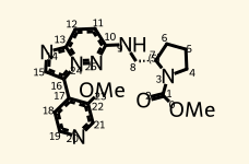 COC(=O)N1CCC[C@H]1CNc1ccc2ncc(-c3ccncc3OC)n2n1